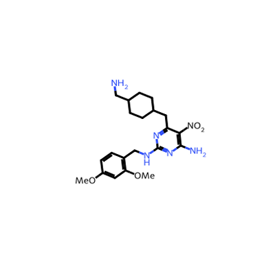 COc1ccc(CNc2nc(N)c([N+](=O)[O-])c(CC3CCC(CN)CC3)n2)c(OC)c1